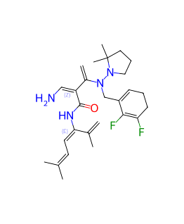 C=C(C)/C(=C\C=C(C)C)NC(=O)/C(=C\N)C(=C)N(CC1=CCCC(F)=C1F)N1CCCC1(C)C